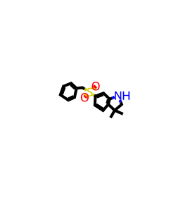 CC1(C)CNc2cc(S(=O)(=O)Cc3ccccc3)ccc21